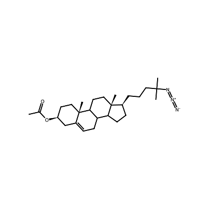 CC(=O)O[C@H]1CC[C@@]2(C)C(=CCC3C2CC[C@@]2(C)C3CC[C@@H]2CCCC(C)(C)N=[N+]=[N-])C1